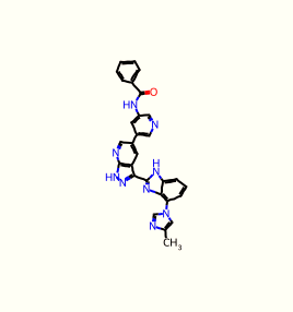 Cc1cn(-c2cccc3[nH]c(-c4n[nH]c5ncc(-c6cncc(NC(=O)c7ccccc7)c6)cc45)nc23)cn1